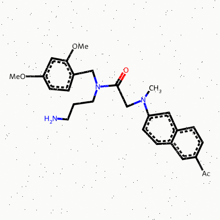 COc1ccc(CN(CCCN)C(=O)CN(C)c2ccc3cc(C(C)=O)ccc3c2)c(OC)c1